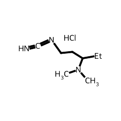 CCC(CCN=C=N)N(C)C.Cl